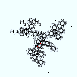 CC(C)(C)c1ccc2c(c1)c1cc(C(C)(C)C)ccc1n2-c1ccc2c(c1)Oc1cc(-c3ccc([Si](c4ccccc4)(c4ccccc4)c4cccc(-c5ccccc5)c4)cc3)cc3c1B2c1ccc(-c2ccc([Si](c4ccccc4)(c4ccccc4)c4cccc(-c5ccccc5)c4)cc2)cc1N3c1ccc(-c2ccccc2)cc1-c1ccccc1